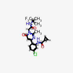 Cc1nc(-c2ccc(Cl)cc2NC(=O)C2CC2)cc(=O)n1CC(=O)NC(C)(C)C(F)(F)F